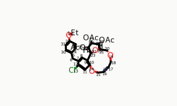 CCOc1ccc(Cc2cc3c(cc2Cl)OC/C=C\COC[C@H]2O[C@@H]3[C@H](OC(C)=O)[C@@H](OC(C)=O)[C@@H]2OC(C)=O)cc1